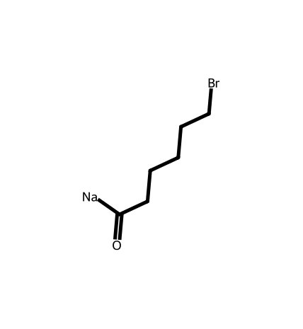 O=[C]([Na])CCCCCBr